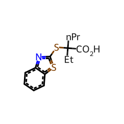 CCCC(CC)(Sc1nc2ccccc2s1)C(=O)O